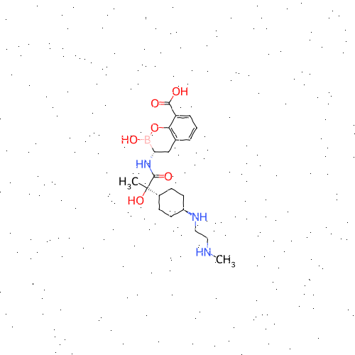 CNCCN[C@H]1CC[C@H](C(C)(O)C(=O)N[C@H]2Cc3cccc(C(=O)O)c3OB2O)CC1